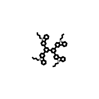 CCCCn1c2ccccc2c2cc(-c3cc(-c4cc(-c5ccc6c(c5)c5ccccc5n6CCCC)cc(-c5ccc6c(c5)c5ccccc5n6CCCC)c4)cc(-c4ccc5c(c4)c4ccccc4n5CCCC)c3)ccc21